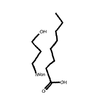 CCCCCCCC(=O)O.CCCCCCCCCCCCO